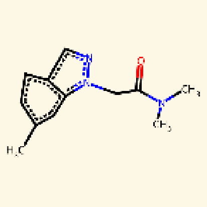 Cc1ccc2cnn(CC(=O)N(C)C)c2c1